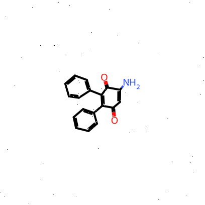 NC1=CC(=O)C(c2ccccc2)=C(c2ccccc2)C1=O